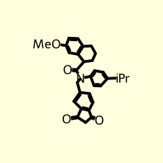 COc1ccc2c(c1)C(C(=O)N(Cc1ccc3c(c1)C(=O)CC3=O)c1ccc(C(C)C)cc1)CCC2